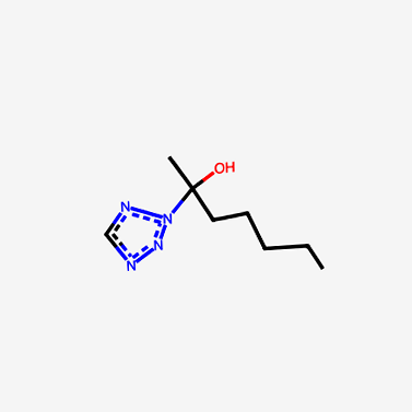 CCCCCC(C)(O)n1ncnn1